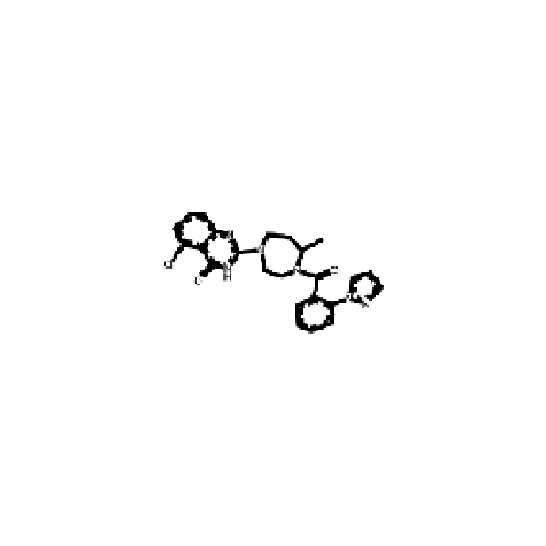 CC1CCN(c2nc3cccc(Cl)c3c(=O)[nH]2)CCN1C(=O)c1ccccc1-n1cccn1